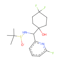 CC(C)(C)[S+]([O-])NC(c1cccc(F)n1)C1(O)CCC(F)(F)CC1